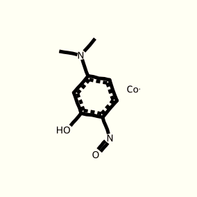 CN(C)c1ccc(N=O)c(O)c1.[Co]